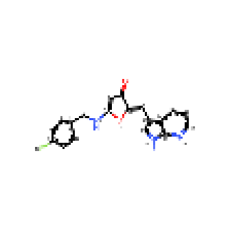 O=C1C=C(NCc2ccc(F)cc2)O/C1=C\c1c[nH]c2ncccc12